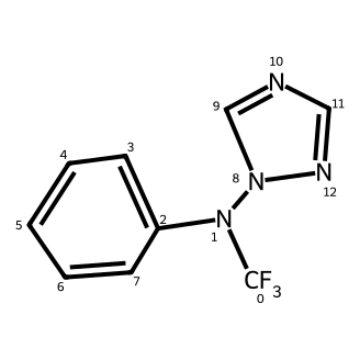 FC(F)(F)N(c1ccccc1)n1cncn1